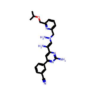 CC(C)OCc1cccc(CN(N)/C=C(\N)c2cc(-c3cccc(C#N)c3)nc(N)n2)n1